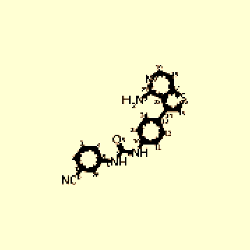 N#Cc1cccc(NC(=O)Nc2ccc(-c3csc4ccnc(N)c34)cc2)c1